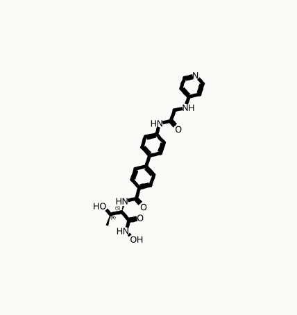 C[C@@H](O)[C@H](NC(=O)c1ccc(-c2ccc(NC(=O)CNc3ccncc3)cc2)cc1)C(=O)NO